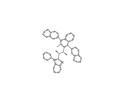 Cc1c([C@@H](C)[C@H](C)c2nc3ccccc3n2-c2ccccc2)c(-c2ccc3ccccc3c2)c2ccccc2c1-c1ccc2ccccc2c1